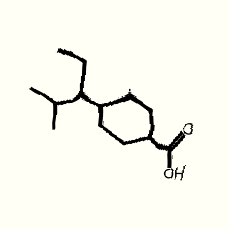 CCC(C(C)C)C1[CH]CC(C(=O)O)CC1